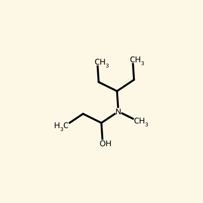 CCC(O)N(C)C(CC)CC